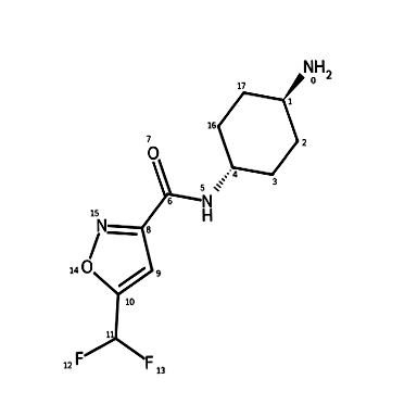 N[C@H]1CC[C@H](NC(=O)c2cc(C(F)F)on2)CC1